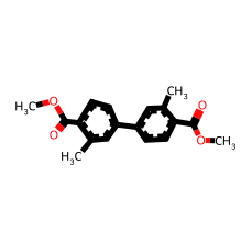 COC(=O)c1ccc(-c2ccc(C(=O)OC)c(C)c2)cc1C